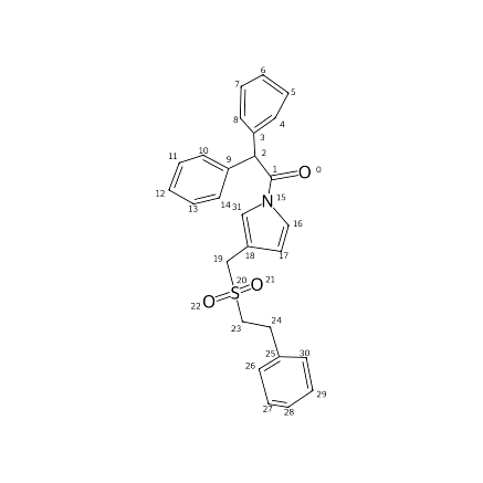 O=C(C(c1ccccc1)c1ccccc1)n1ccc(CS(=O)(=O)CCc2ccccc2)c1